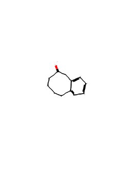 O=C1CCCCc2ccccc2C1